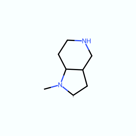 CN1[CH]CC2CNCCC21